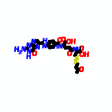 CC(=O)CCSSCC(NC(=O)CCC(NC(=O)c1ccc(NCc2cnc3nc(N)[nH]c(=O)c3n2)cc1)C(=O)O)C(=O)O